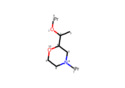 CC(C)OC(C)C1CN(C(C)C)CCO1